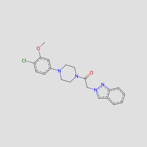 COc1cc(N2CCN(C(=O)Cn3cc4ccccc4n3)CC2)ccc1Cl